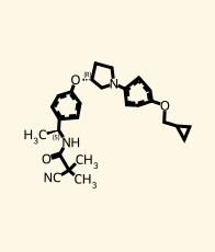 C[C@H](NC(=O)C(C)(C)C#N)c1ccc(O[C@@H]2CCN(c3ccc(OCC4CC4)cc3)C2)cc1